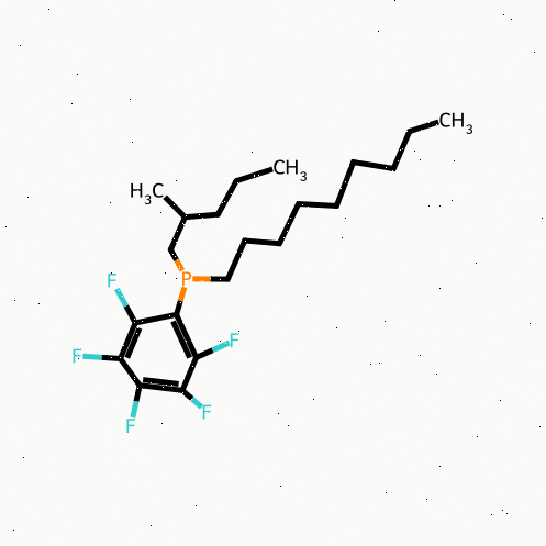 CCCCCCCCCP(CC(C)CCC)c1c(F)c(F)c(F)c(F)c1F